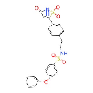 O=C1C=C(c2ccc(CCNS(=O)(=O)c3ccc(Oc4ccccc4)cc3)cc2)S(=O)(=O)N1